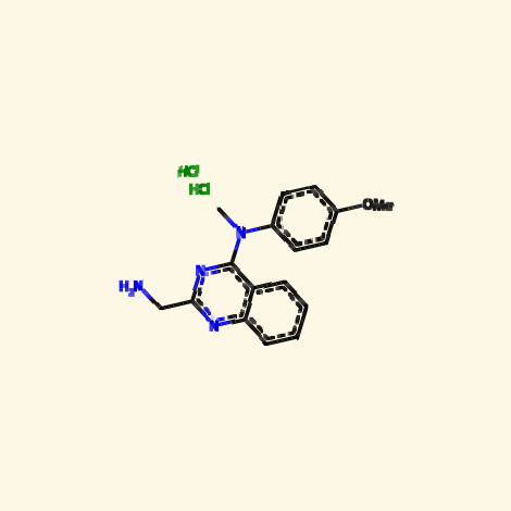 COc1ccc(N(C)c2nc(CN)nc3ccccc23)cc1.Cl.Cl